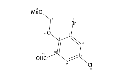 COCOc1c(Br)cc(Cl)cc1C=O